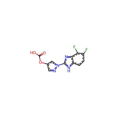 O=C(O)Oc1cnn(-c2nc3c(F)c(F)ccc3[nH]2)c1